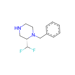 FC(F)[C@@H]1CNCCN1Cc1ccccc1